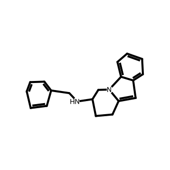 c1ccc(CNC2CCc3cc4ccccc4n3C2)cc1